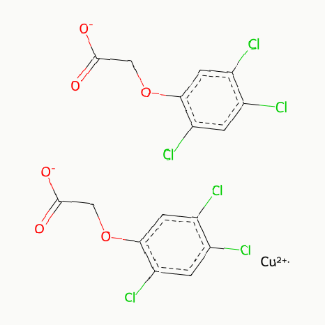 O=C([O-])COc1cc(Cl)c(Cl)cc1Cl.O=C([O-])COc1cc(Cl)c(Cl)cc1Cl.[Cu+2]